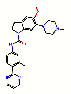 COc1cc2c(cc1N1CCN(C)CC1)N(C(=O)Nc1ccc(-c3ncccn3)c(C)c1)CC2